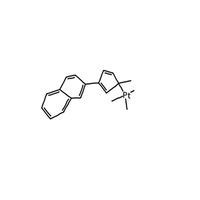 C[C]1([Pt]([CH3])([CH3])[CH3])C=CC(c2ccc3ccccc3c2)=C1